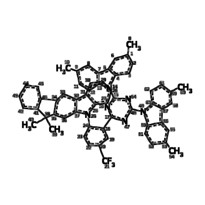 Cc1ccc2c(c1)c1cc(C)ccc1n2-c1nc(-c2cc(C(F)(F)F)ccc2-n2c3ccccc3c3cc4c(cc32)C(C)(C)c2ccccc2-4)nc(-n2c3ccc(C)cc3c3cc(C)ccc32)n1